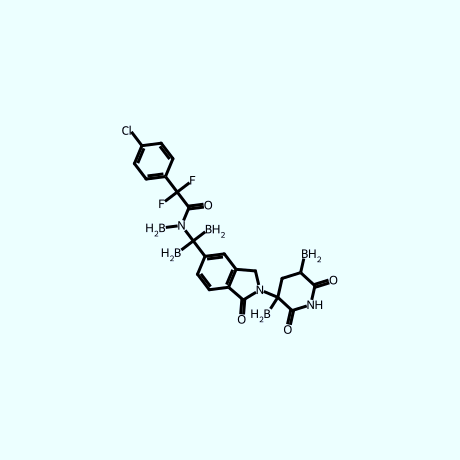 BC1CC(B)(N2Cc3cc(C(B)(B)N(B)C(=O)C(F)(F)c4ccc(Cl)cc4)ccc3C2=O)C(=O)NC1=O